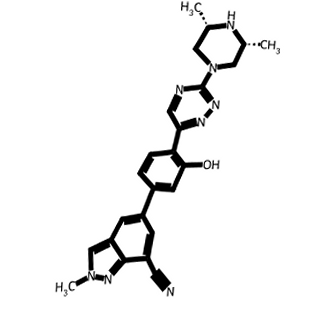 C[C@@H]1CN(c2ncc(-c3ccc(-c4cc(C#N)c5nn(C)cc5c4)cc3O)nn2)C[C@H](C)N1